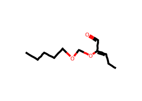 CCC=C(C=O)OCOCCCCC